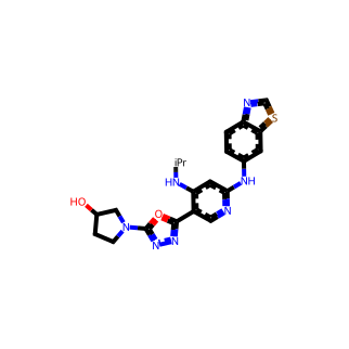 CC(C)Nc1cc(Nc2ccc3ncsc3c2)ncc1-c1nnc(N2CCC(O)C2)o1